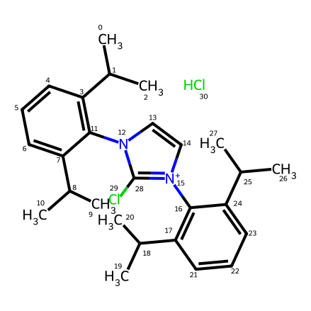 CC(C)c1cccc(C(C)C)c1-n1cc[n+](-c2c(C(C)C)cccc2C(C)C)c1Cl.Cl